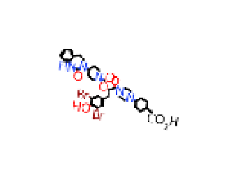 O=C(O)CC1CCC(N2CCN(C(=O)[C@@H](Cc3cc(Br)c(O)c(Br)c3)OC(=O)N3CCC(N4CCc5ccccc5NC4=O)CC3)CC2)CC1